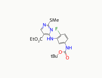 CCOC(=O)c1cnc(SC)nc1Nc1cc(NC(=O)OC(C)(C)C)ccc1F